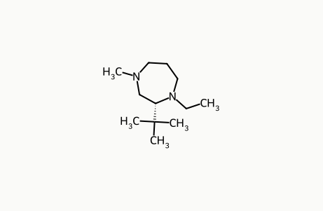 CCN1CCCN(C)C[C@H]1C(C)(C)C